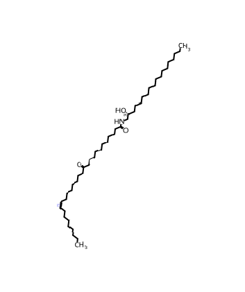 CCCCCCCC/C=C\CCCCCCCC(=O)CCCCCCCCCCC(=O)NC[C@H](O)CCCCCCCCCCCCCCCC